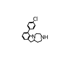 Clc1ccc(-c2cccc3c2N2CCNCCC2C3)cc1